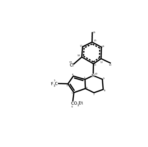 CCOC(=O)C1=C(C(F)(F)F)C=C2C1CCCN2c1c(C)cc(C)cc1Cl